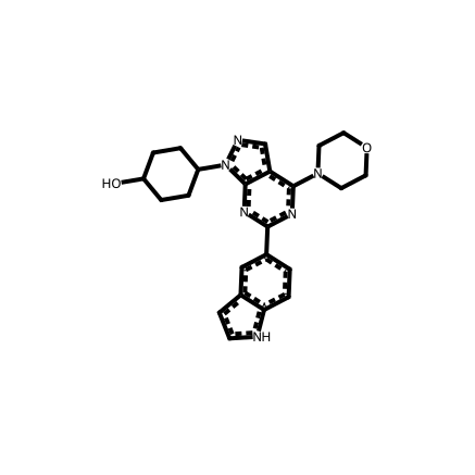 OC1CCC(n2ncc3c(N4CCOCC4)nc(-c4ccc5[nH]ccc5c4)nc32)CC1